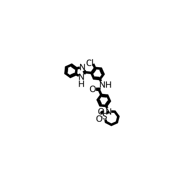 O=C(Nc1ccc(Cl)c(-c2nc3ccccc3[nH]2)c1)c1ccc(N2CCCCCS2(=O)=O)cc1